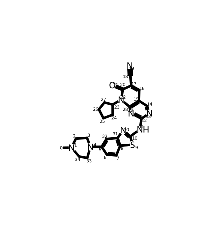 CN1CCN(c2ccc3sc(Nc4ncc5cc(C#N)c(=O)n(C6CCCC6)c5n4)nc3c2)CC1